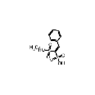 O=S(=O)(O)C(=Cc1ccccc1)S(=O)(=O)O.[CaH2]